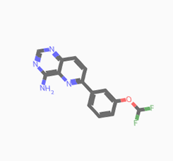 Nc1ncnc2ccc(-c3cccc(OC(F)F)c3)nc12